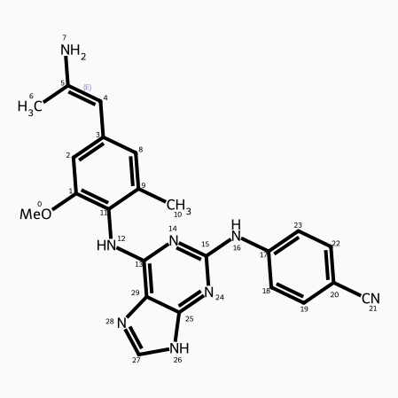 COc1cc(/C=C(\C)N)cc(C)c1Nc1nc(Nc2ccc(C#N)cc2)nc2[nH]cnc12